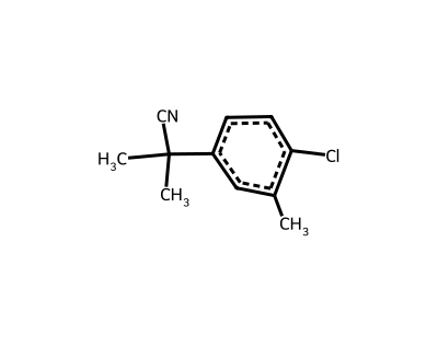 Cc1cc(C(C)(C)C#N)ccc1Cl